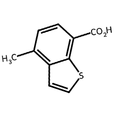 Cc1ccc(C(=O)O)c2sccc12